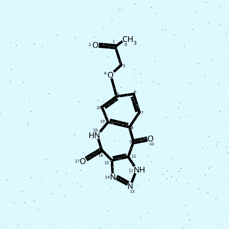 CC(=O)COc1ccc2c(=O)c3[nH]nnc3c(=O)[nH]c2c1